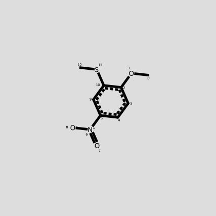 COc1ccc([N+](=O)[O-])cc1SC